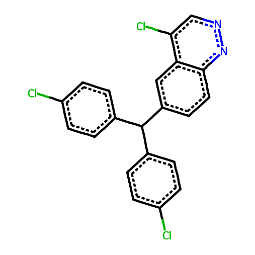 Clc1ccc(C(c2ccc(Cl)cc2)c2ccc3nncc(Cl)c3c2)cc1